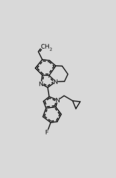 C=Cc1cc2c3c(c1)nc(-c1cc4cc(F)ccc4n1CC1CC1)n3CCC2